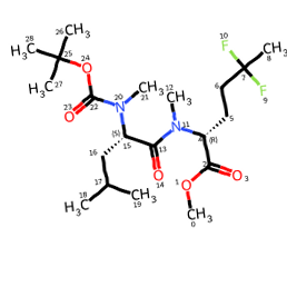 COC(=O)[C@@H](CCC(C)(F)F)N(C)C(=O)[C@H](CC(C)C)N(C)C(=O)OC(C)(C)C